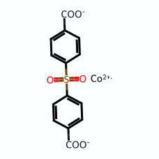 O=C([O-])c1ccc(S(=O)(=O)c2ccc(C(=O)[O-])cc2)cc1.[Co+2]